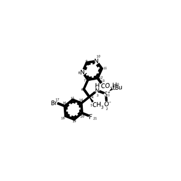 CC(C)(C)[S@@+]([O-])N[C@@](C)(Cc1ncncc1C(=O)O)c1cc(Br)ccc1F